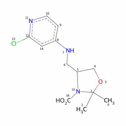 CC1(C)OCC(CNc2ccnc(Cl)c2)N1C(=O)O